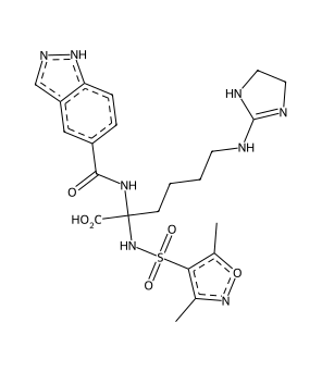 Cc1noc(C)c1S(=O)(=O)NC(CCCCNC1=NCCN1)(NC(=O)c1ccc2[nH]ncc2c1)C(=O)O